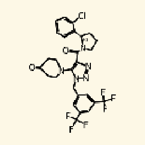 O=C1CCN(c2c(C(=O)N3CCC[C@@H]3c3ccccc3Cl)nnn2Cc2cc(C(F)(F)F)cc(C(F)(F)F)c2)CC1